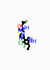 C#CCc1c(F)c(Cl)c(C2=CN(/C=C(\N=C)NC(=O)[C@@H]3C[C@@H]3F)CC=N2)c2cn[nH]c12